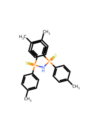 Cc1ccc(P(=S)(NP(=S)(c2ccc(C)cc2)c2ccc(C)cc2)c2ccc(C)cc2)cc1